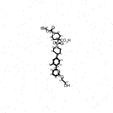 Cc1cc(C2CCN(S(=O)(=O)C3(C(=O)O)CCN(C(=O)OC(C)(C)C)CC3)CC2)ccc1-c1cccc(OCCO)n1